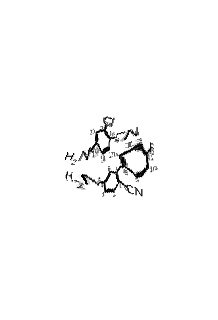 N#Cc1ccc(N)cc1-c1ccc(F)cc1.N#Cc1ccc(N)cc1Cl